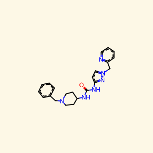 O=C(Nc1ccn(Cc2ccccn2)n1)NC1CCN(Cc2ccccc2)CC1